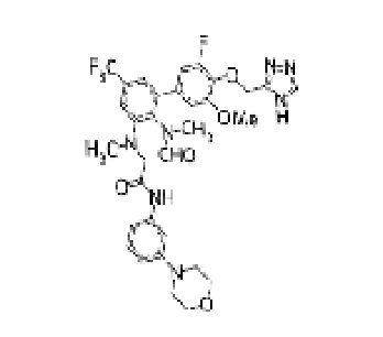 COc1cc(-c2cc(C(F)(F)F)cc(N(C)CC(=O)Nc3cccc(N4CCOCC4)c3)c2N(C)C=O)cc(F)c1OCc1nnc[nH]1